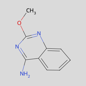 COc1nc(N)c2ccccc2n1